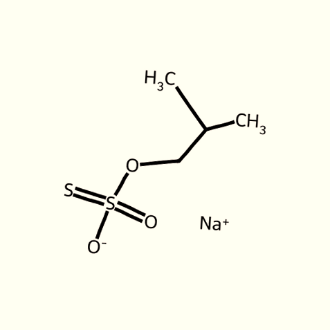 CC(C)COS(=O)([O-])=S.[Na+]